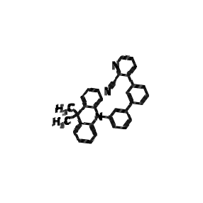 CC1(C)c2ccccc2N(c2cccc(-c3cccc(-c4cccnc4C#N)c3)c2)c2ccccc21